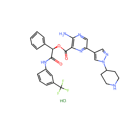 Cl.Nc1ncc(-c2cnn(C3CCNCC3)c2)nc1C(=O)O[C@@H](C(=O)Nc1cccc(C(F)(F)F)c1)c1ccccc1